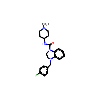 O=C(O)N1CCC(NC(=O)N2CCN(Cc3ccc(F)cc3)c3ccccc32)CC1